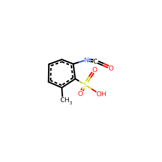 Cc1cccc(N=C=O)c1S(=O)(=O)O